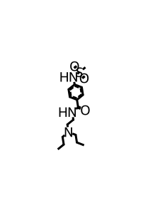 CCCN(CCC)CCNC(=O)c1ccc(NS(C)(=O)=O)cc1